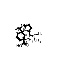 CN(C)CC1CCCN1C1(C(=O)O)CC=CC(C)(C(=O)O)C1